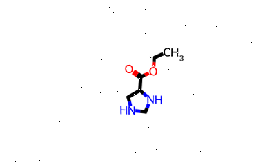 C[CH]OC(=O)C1CNCN1